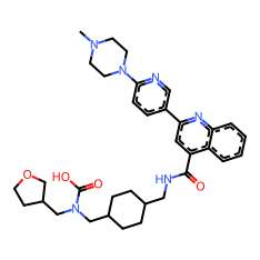 CN1CCN(c2ccc(-c3cc(C(=O)NCC4CCC(CN(CC5CCOC5)C(=O)O)CC4)c4ccccc4n3)cn2)CC1